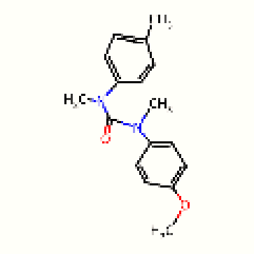 COc1ccc(N(C)C(=O)N(C)c2ccc(C)cc2)cc1